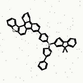 CC1(C)c2ccccc2-c2ccc(N(c3ccc(-c4ccccc4)cc3)c3ccc(-c4ccc5c6ccccc6c6c(ccc7oc8ccccc8c76)c5c4)cc3)cc21